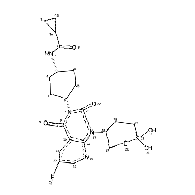 O=C(N[C@H]1CC[C@@H](n2c(=O)c3cc(F)cnc3n(C3CCS(O)(O)CC3)c2=O)CC1)C1CC1